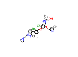 Cc1nn(CCCN2CCCC2)c2cccc(-c3cccc(COc4cc(OCc5cncc(C#N)c5)c(CNC(C)CO)cc4Cl)c3Br)c12